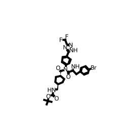 CC(C)(C)OC(=O)NC[C@H]1CC[C@H](C(=O)N(C(=O)[C@@H](N)Cc2ccc(Br)cc2)c2ccc(-c3nc(C(F)F)n[nH]3)cc2)CC1